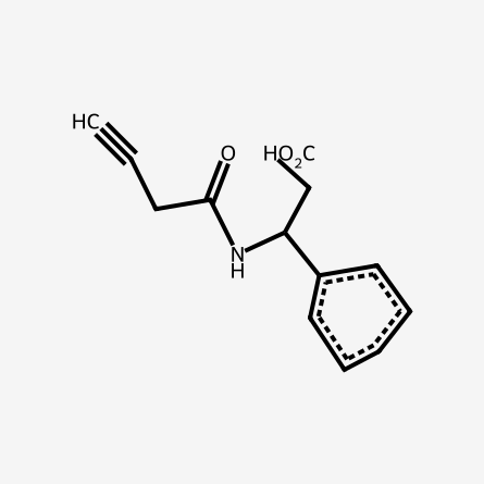 C#CCC(=O)NC(CC(=O)O)c1ccccc1